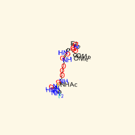 CCC(C)(C)C(=O)C(=O)N1CCCCC1C(=O)OC(CCc1ccc(OC)c(OC)c1)c1cccc(NC(=O)CCC(=O)NCCCOCCOCCOCCCNC(=O)C(CSc2nc3c(=O)[nH]c(N)nc3n2Cc2ccc(F)cc2)NC(C)=O)c1